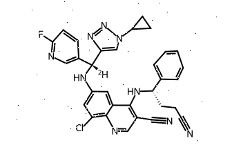 [2H][C@@](Nc1cc(Cl)c2ncc(C#N)c(N[C@@H](CCC#N)c3ccccc3)c2c1)(c1ccc(F)nc1)c1cn(C2CC2)nn1